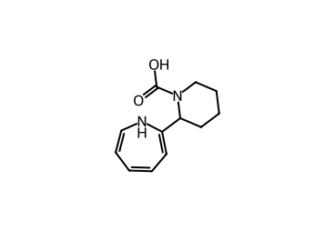 O=C(O)N1CCCCC1C1=CC=CC=CN1